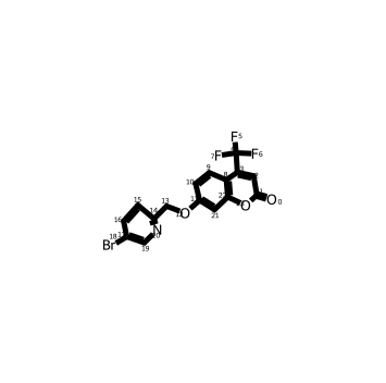 O=c1cc(C(F)(F)F)c2ccc(OCc3ccc(Br)cn3)cc2o1